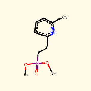 CCOP(=O)(CCc1cccc(C#N)n1)OCC